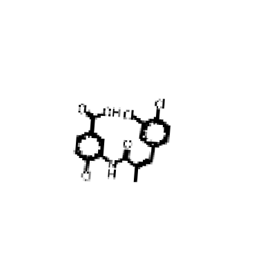 CC(=Cc1ccc(Cl)c(Cl)c1)C(=O)Nc1cc(C(=O)O)ccc1Cl